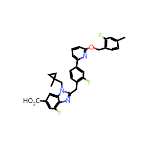 Cc1ccc(COc2cccc(-c3ccc(Cc4nc5c(F)cc(C(=O)O)cc5n4CC4(C)CC4)c(F)c3)n2)c(F)c1